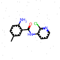 Cc1ccc(N)c(C(=O)Nc2cccnc2Cl)c1